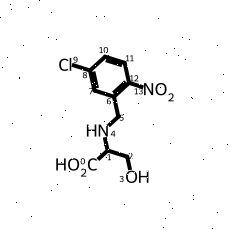 O=C(O)C(CO)NCc1cc(Cl)ccc1[N+](=O)[O-]